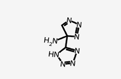 NC1(c2nnn[nH]2)C=NN=N1